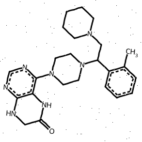 Cc1ccccc1C(CN1CCCCC1)N1CCN(c2ncnc3c2NC(=O)CN3)CC1